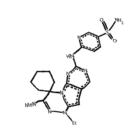 CCN1N=C(NC)C2(CCCCC2)n2c1cc1cnc(Nc3ccc(S(N)(=O)=O)cn3)nc12